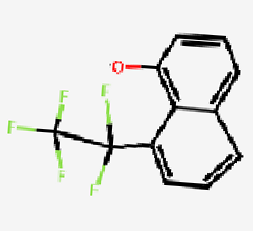 [O]c1cccc2cccc(C(F)(F)C(F)(F)F)c12